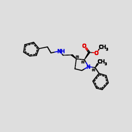 COC(=O)[C@@H]1[C@H](CCNCCc2ccccc2)CCN1[C@@H](C)c1ccccc1